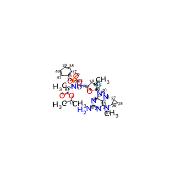 CC(C)OC(=O)[C@H](C)N[P@](=O)(O/C=C1\C[C@@](C)(F)[C@H](n2cnc3c(N(C)C4CC4)nc(N)nc32)O1)Oc1ccccc1